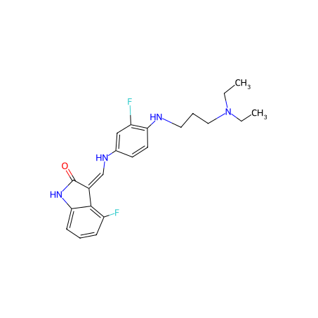 CCN(CC)CCCNc1ccc(N/C=C2\C(=O)Nc3cccc(F)c32)cc1F